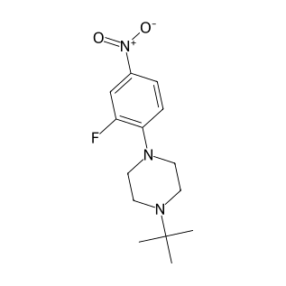 CC(C)(C)N1CCN(c2ccc([N+](=O)[O-])cc2F)CC1